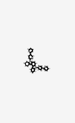 c1ccc(-c2ccc(-n3c4c(c5c6c7ccccc7n(-c7ccc(-c8ccccn8)cn7)c6ccc53)CCCC4)nc2)nc1